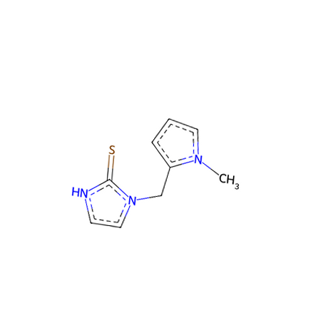 Cn1cccc1Cn1cc[nH]c1=S